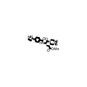 COC(=O)CC[C@H](NC(=O)c1ccc(-n2ccnn2)cc1)C(=O)N1CCS(=O)(=O)CC1